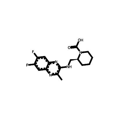 Cc1nc2cc(F)c(F)cc2nc1NC[C@@H]1CCCCN1C(=O)O